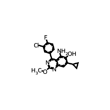 COc1nc(-c2ccc(F)c(Cl)c2)c2c(N)c(O)c(C3CC3)cc2n1